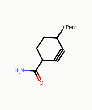 CCCCCC1C#CC(C(N)=O)CC1